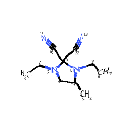 CCN1CC(C)N(CC)C1(C#N)C#N